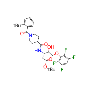 CC(C)(C)OC(=O)C[C@H](NC(=O)C1CCN(C(=O)c2ccccc2C(C)(C)C)CC1)C(O)COc1c(F)c(F)cc(F)c1F